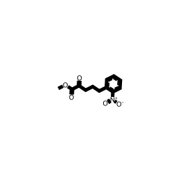 COC(=O)C(=O)CCCc1ccccc1[N+](=O)[O-]